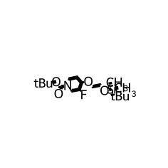 CC(C)(C)OC(=O)N1CC[C@@H](OCCO[Si](C)(C)C(C)(C)C)[C@@H](F)C1